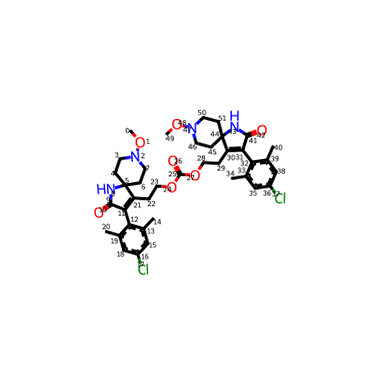 CON1CCC2(CC1)NC(=O)C(c1c(C)cc(Cl)cc1C)=C2CCOC(=O)OCCC1=C(c2c(C)cc(Cl)cc2C)C(=O)NC12CCN(OC)CC2